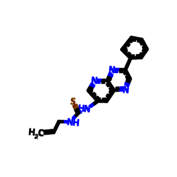 C=CCNC(=S)Nc1cnc2nc(-c3ccccc3)cnc2c1